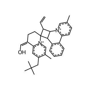 C=CC1C2C(c3ccccc3-c3ccc(C)c[n+]32)C12CC/C(=C/O)c1cc(CC(C)(C)C)c(C)c[n+]12